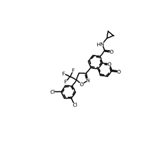 O=C(NC1CC1)c1ccc(C2=NOC(c3cc(Cl)cc(Cl)c3)(C(F)(F)F)C2)c2ccc(=O)oc12